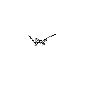 CCCCCCCCc1cc(-c2cc(Br)c(-c3csc(CCCCCCCC)c3)cc2Br)cs1